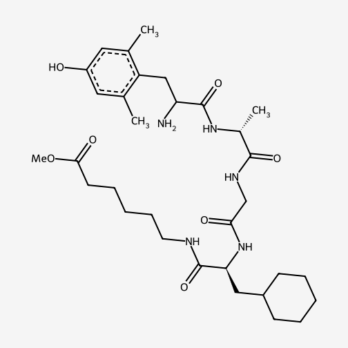 COC(=O)CCCCCNC(=O)[C@H](CC1CCCCC1)NC(=O)CNC(=O)[C@@H](C)NC(=O)C(N)Cc1c(C)cc(O)cc1C